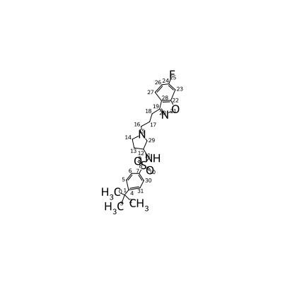 CC(C)(C)c1ccc(S(=O)(=O)NC2CCN(CCCc3noc4cc(F)ccc34)C2)cc1